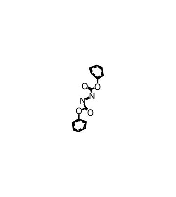 O=C(N=NC(=O)Oc1ccccc1)Oc1ccccc1